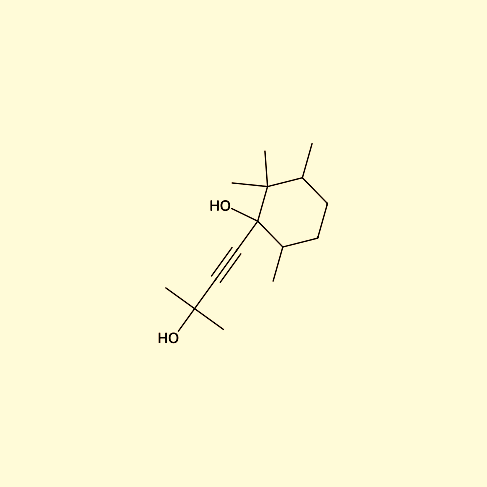 CC1CCC(C)C(O)(C#CC(C)(C)O)C1(C)C